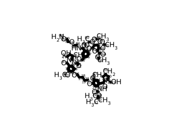 C=C1C[C@@H](CO)N(C(=O)c2cc(OC)c(OCCCCCOc3cc(NC(=O)OC(C)(C)C)c(C(=O)N4CC(=C)C[C@H]4CO)cc3OC)cc2NC(=O)OCc2ccc(O[C@@H]3O[C@H](C(=O)OC)[C@@H](OC(C)=O)[C@H](OC(C)=O)[C@H]3OC(C)=O)c(C(=O)NCCOCCON)c2)C1